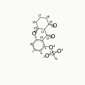 CS(=O)(=O)Oc1ccccc1C(=O)C1C(=O)CCCC1=O